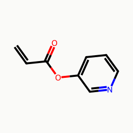 C=CC(=O)Oc1cccnc1